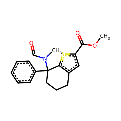 COC(=O)c1cc2c(s1)C(c1ccccc1)(N(C)C=O)CCC2